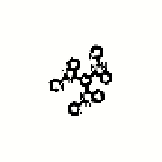 c1ccc(-c2nc(-c3cc(-c4nc(-c5ccccn5)nc5ccccc45)cc(-c4nc(-c5ccccn5)nc5ccccc45)c3)c3ccccc3n2)nc1